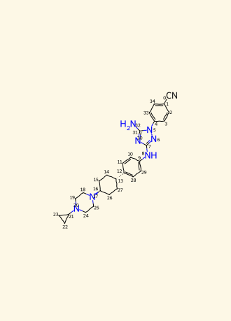 N#Cc1ccc(-n2nc(Nc3ccc([C@H]4CC[C@H](N5CCN(C6CC6)CC5)CC4)cc3)nc2N)cc1